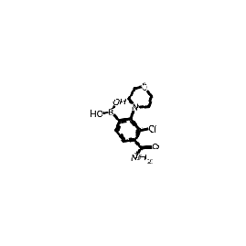 NC(=O)c1ccc(B(O)O)c(N2CCOCC2)c1Cl